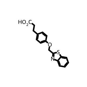 O=C(O)CCc1ccc(OCc2nc3ccccc3s2)cc1